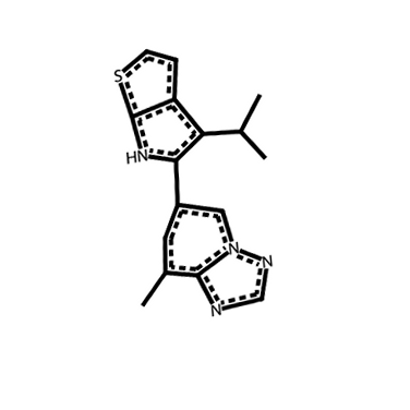 Cc1cc(-c2[nH]c3sccc3c2C(C)C)cn2ncnc12